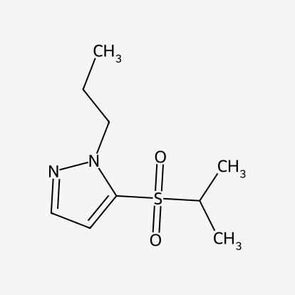 CCCn1nccc1S(=O)(=O)C(C)C